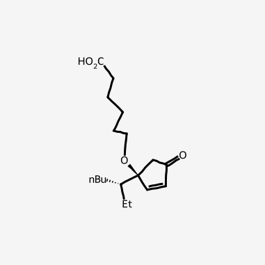 CCCC[C@@H](CC)[C@@]1(OCCCCCC(=O)O)C=CC(=O)C1